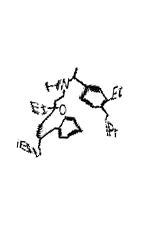 C=C(NCCC1(CC)CC(C(C)CC)c2ccccc2O1)c1ccc(CC(C)C)c(CC)c1